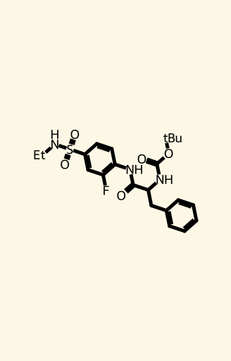 CCNS(=O)(=O)c1ccc(NC(=O)C(Cc2ccccc2)NC(=O)OC(C)(C)C)c(F)c1